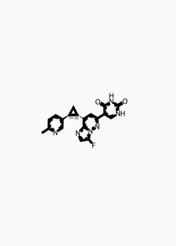 Cc1ccc([C@H]2C[C@@H]2c2cc(-c3c[nH]c(=O)[nH]c3=O)nn3c(F)cnc23)cn1